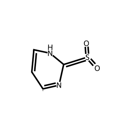 O=S(=O)=c1n[c]cc[nH]1